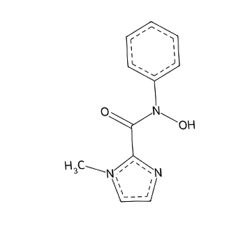 Cn1ccnc1C(=O)N(O)c1ccccc1